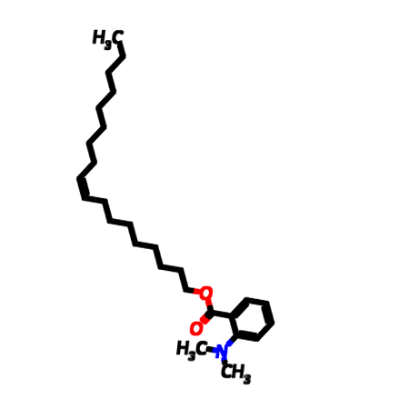 CCCCCCCC/C=C\CCCCCCCCOC(=O)c1ccccc1N(C)C